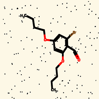 CCCCOc1cc(Br)c(C=O)c(OCCCC)c1